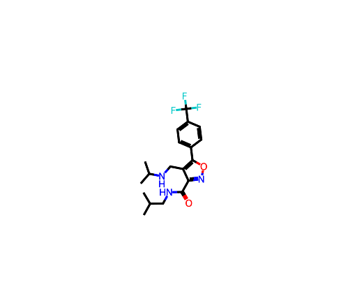 CC(C)CNC(=O)c1noc(-c2ccc(C(F)(F)F)cc2)c1CNC(C)C